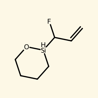 C=CC(F)[SiH]1CCCCO1